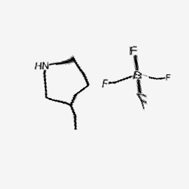 CC1CCNC1.F[B-](F)(F)F